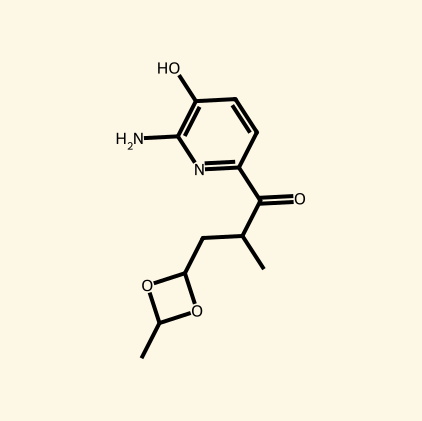 CC1OC(CC(C)C(=O)c2ccc(O)c(N)n2)O1